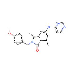 COc1ccc(CN2C(=O)c3c(C)cc(Nc4ccncn4)cc3C2C)cc1